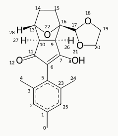 Cc1cc(C)c(C2=C(O)[C@H]3[C@@H](C2=O)[C@@H]2CC[C@@]3(C3OCCO3)O2)c(C)c1